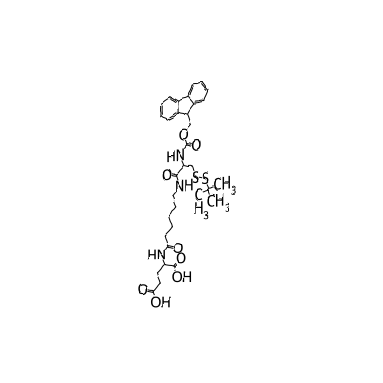 CC(C)(C)SSCC(NC(=O)OCC1c2ccccc2-c2ccccc21)C(=O)NCCCCCC(=O)NC(CCC(=O)O)C(=O)O